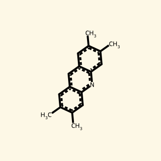 Cc1cc2cc3cc(C)c(C)cc3nc2cc1C